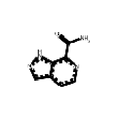 NC(=O)c1nccc2cn[nH]c12